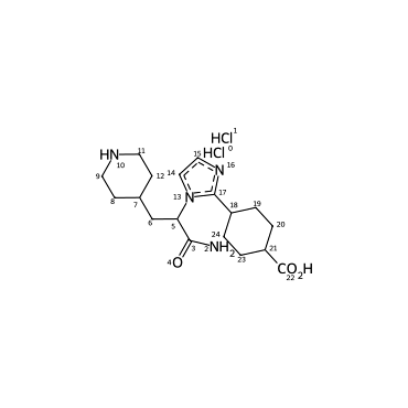 Cl.Cl.NC(=O)C(CC1CCNCC1)n1ccnc1C1CCC(C(=O)O)CC1